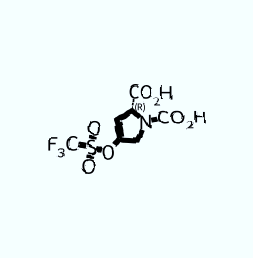 O=C(O)[C@H]1C=C(OS(=O)(=O)C(F)(F)F)CN1C(=O)O